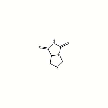 O=C1NC(=O)N2CSCC12